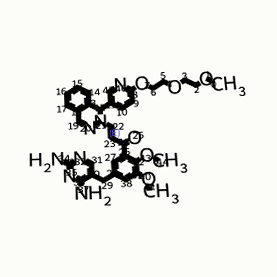 COCCOCCOc1ccc(C2c3ccccc3C=NN2/C=C/C(=O)c2cc(Cc3cnc(N)nc3N)cc(OC)c2OC)cn1